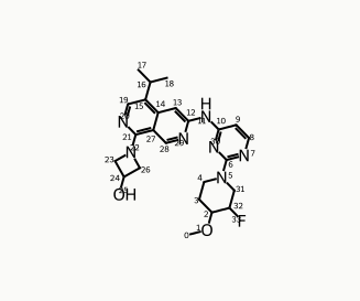 COC1CCN(c2nccc(Nc3cc4c(C(C)C)cnc(N5CC(O)C5)c4cn3)n2)CC1F